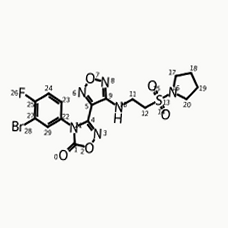 O=c1onc(-c2nonc2NCCS(=O)(=O)N2CCCC2)n1-c1ccc(F)c(Br)c1